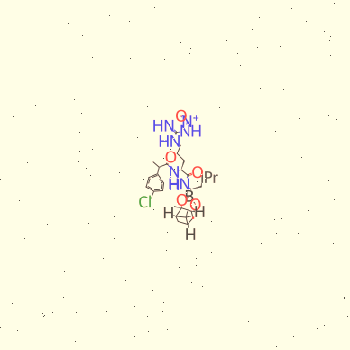 CC(C)C[C@H](NC(=O)[C@H](CCCNC(=N)N[N+](C)=O)NC(=O)C(C)c1ccc(Cl)cc1)B1O[C@@H]2C[C@@H]3C[C@@H](C3(C)C)[C@]2(C)O1